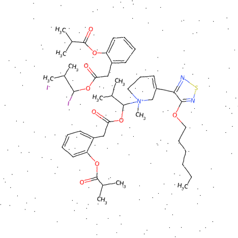 CC(C)C(=O)Oc1ccccc1CC(=O)OC(I)C(C)C.CCCCCCOc1nsnc1C1=CCC[N+](C)(C(OC(=O)Cc2ccccc2OC(=O)C(C)C)C(C)C)C1.[I-]